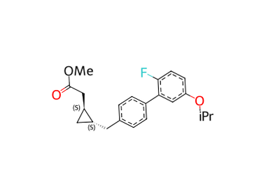 COC(=O)C[C@@H]1C[C@H]1Cc1ccc(-c2cc(OC(C)C)ccc2F)cc1